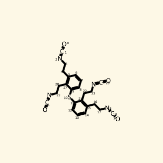 O=C=NCCc1cccc(Sc2cccc(CCN=C=O)c2CCN=C=O)c1CCN=C=O